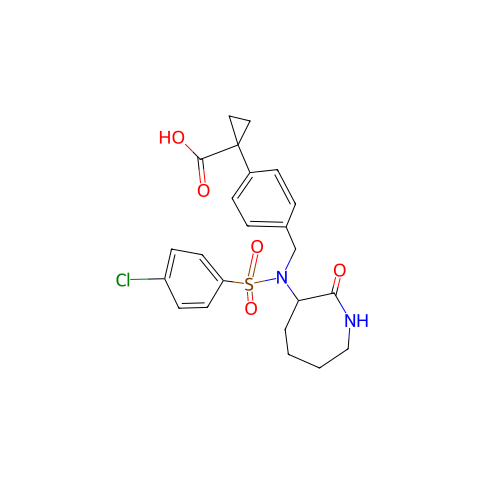 O=C1NCCCCC1N(Cc1ccc(C2(C(=O)O)CC2)cc1)S(=O)(=O)c1ccc(Cl)cc1